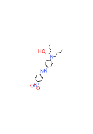 CCCCN(c1ccc(N=Nc2ccc([N+](=O)[O-])cc2)cc1)C(CO)CCC